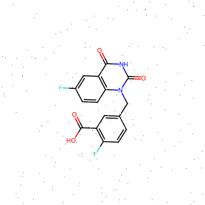 O=C(O)c1cc(Cn2c(=O)[nH]c(=O)c3cc(F)ccc32)ccc1F